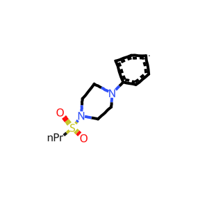 CCCS(=O)(=O)N1CCN(c2cc[c]cc2)CC1